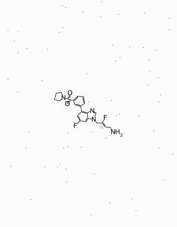 NC/C=C(\F)Cn1cnc2c(-c3cccc(S(=O)(=O)N4CCCC4)c3)cc(F)cc21